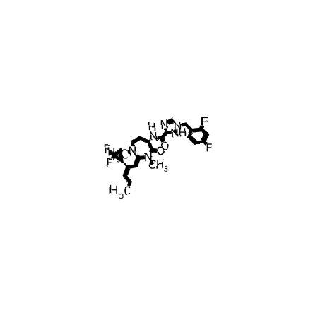 CC/C=C(\C=C1/N(C)CC[C@H](NC(=O)C2N=CN(Cc3ccc(F)cc3F)N2)C(=O)N1C)[C@@H]1CC1(F)F